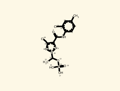 Cc1ccc(NC(=O)c2nn(C(C)OP(=O)(O)O)nc2Cl)c(Cl)c1